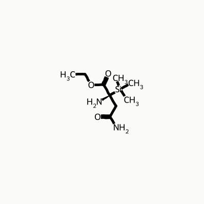 CCOC(=O)[C@@](N)(CC(N)=O)[Si](C)(C)C